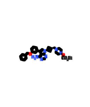 CCOC(=O)ON1CCN(C[C@H]2C[C@@H](n3cc(-c4cccc(OCc5ccccc5)c4)c4c(N)ncnc43)C2)CC1